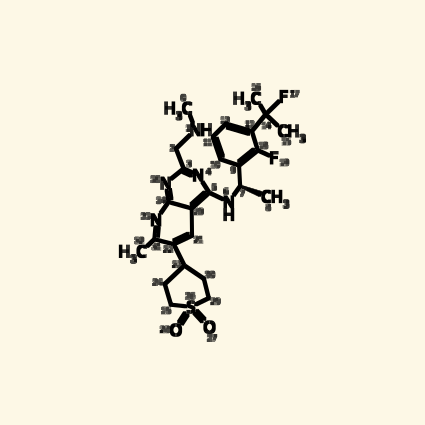 CNCc1nc(N[C@H](C)c2cccc(C(C)(C)F)c2F)c2cc(C3CCS(=O)(=O)CC3)c(C)nc2n1